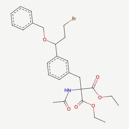 CCOC(=O)C(Cc1cccc(C(CCBr)OCc2ccccc2)c1)(NC(C)=O)C(=O)OCC